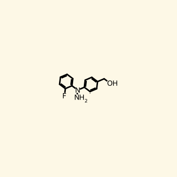 NN(c1[c]cc(CO)cc1)c1ccccc1F